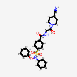 N#CC1CCN(C(=O)CNC(=O)c2ccc(S(=O)(=O)N(Oc3ccccc3)c3ccccc3)cc2)CC1